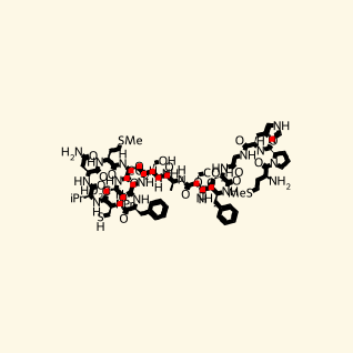 CSCC[C@H](NC(=O)[C@H](CC(N)=O)NC(=O)[C@@H](NC(=O)[C@H](CS)NC(=O)[C@H](Cc1ccccc1)NC(=O)[C@H](CC(=O)O)NC(=O)[C@H](CO)NC(=O)[C@H](C)NC(=O)[C@H](CC(=O)O)NC(=O)[C@H](Cc1ccccc1)NC(=O)[C@H](CCC(N)=O)NC(=O)CNC(=O)[C@H](Cc1c[nH]cn1)NC(=O)[C@@H]1CCCN1C(=O)[C@@H](N)CCSC)C(C)C)C(=O)N[C@@H](CCCCN)C(=O)N[C@@H](CC(C)C)C(=O)O